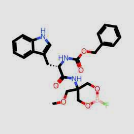 COCC1(NC(=O)[C@H](Cc2c[nH]c3ccccc23)NC(=O)OCc2ccccc2)COB(F)OC1